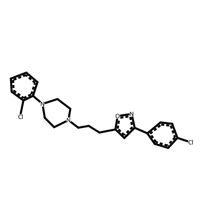 Clc1ccc(-c2cc(CCCN3CCN(c4ccccc4Cl)CC3)on2)cc1